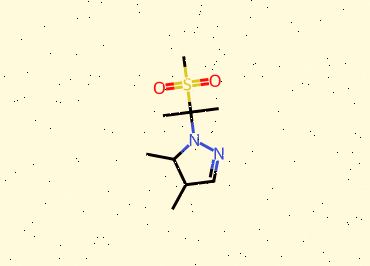 CC1C=NN(C(C)(C)S(C)(=O)=O)C1C